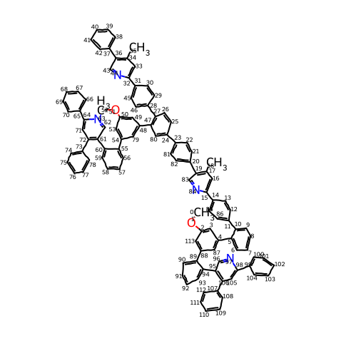 COc1cc(-c2ccccc2-c2ccc(-c3cc(C)c(-c4ccc(-c5ccc(-c6ccc(-c7cc(C)c(-c8ccccc8)cn7)cc6)c(-c6cc(OC)cc(-c7ccccc7-c7cnc(-c8ccccc8)cc7-c7ccccc7)c6)c5)cc4)cn3)cc2)cc(-c2ccccc2-c2cnc(-c3ccccc3)cc2-c2ccccc2)c1